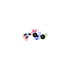 C[C@@H]1CN(CCOc2cc3ncnc(Nc4ccc(F)c(Cl)c4)c3cc2[N+](=O)[O-])CC(=O)O1